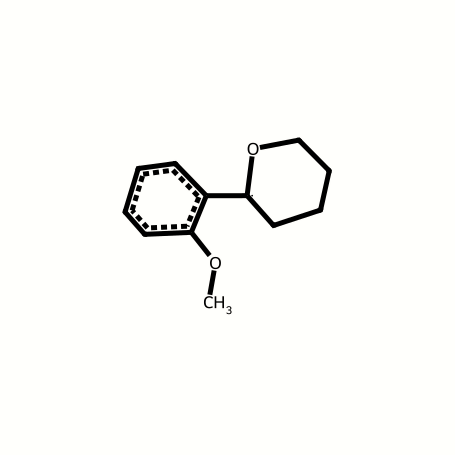 COc1ccccc1[C]1CCCCO1